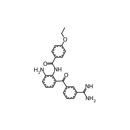 CCOc1ccc(C(=O)Nc2c(N)cccc2C(=O)c2cccc(C(=N)N)c2)cc1